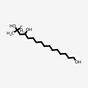 CC(C)(O)CC(O)CCCCCCCCCCCCO